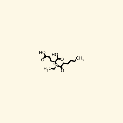 CCCCCC(=O)N(CC)[C@@H](CCC(=O)O)C(=O)O